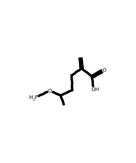 C=C(CCC(C)OP)C(=O)O